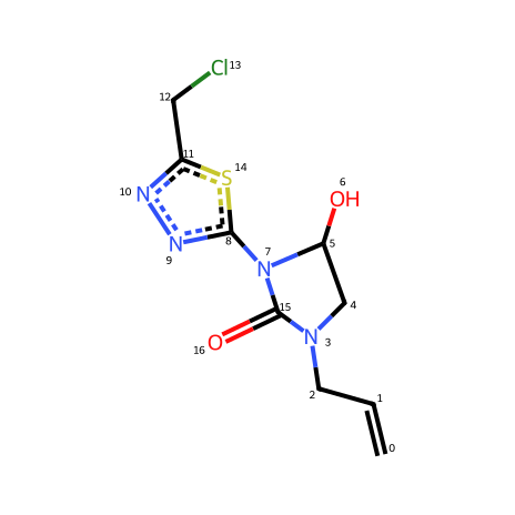 C=CCN1CC(O)N(c2nnc(CCl)s2)C1=O